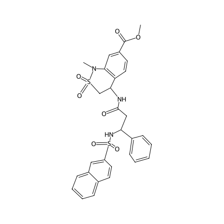 COC(=O)c1ccc2c(c1)N(C)S(=O)(=O)CC2NC(=O)CC(NS(=O)(=O)c1ccc2ccccc2c1)c1ccccc1